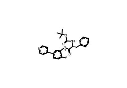 CC(C)(C)OC(=O)N[C@@H](Cc1ccccc1)C(=O)Nc1cc(-c2ccncc2)ccc1F